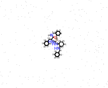 CN(Cc1ccccc1)C(=O)C(Cc1ccccc1)NC(=S)N[C@@H]1CCCC[C@H]1NCc1ccccc1